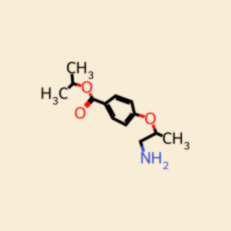 CC(C)OC(=O)c1ccc(OC(C)CN)cc1